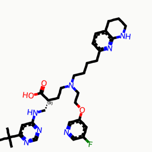 CC(C)(C)c1cc(NC[C@@H](CCN(CCCCc2ccc3c(n2)NCCC3)CCOc2cncc(F)c2)C(=O)O)ncn1